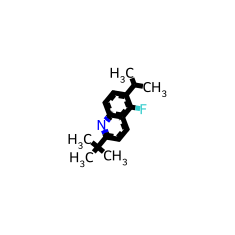 CC(C)c1ccc2nc(C(C)(C)C)ccc2c1F